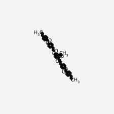 CCCc1ccc(C(=O)OC2CCC(CCC(=O)Oc3ccc(OC(=O)CCC4CCC(OC(=O)c5ccc(CCC)cc5)CC4)c(C(C)=O)c3)CC2)cc1